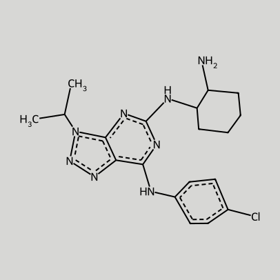 CC(C)n1nnc2c(Nc3ccc(Cl)cc3)nc(NC3CCCCC3N)nc21